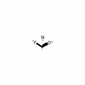 O=[C]F.[N]